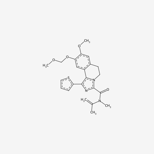 C=C(C)N(C)C(=O)c1nc(-c2cccs2)c2n1CCc1cc(OC)c(OCOC)cc1-2